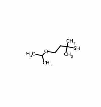 CC(C)OCCC(C)(C)S